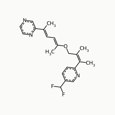 C/C(CO/C(C)=C/C=C(\C)c1cnccn1)=C(\C)c1ccc(C(F)F)cn1